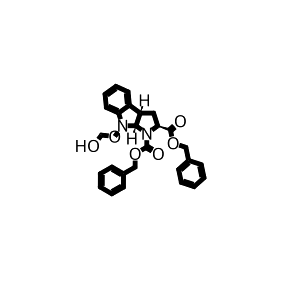 O=C(OCc1ccccc1)[C@@H]1C[C@@H]2c3ccccc3N(OCO)[C@@H]2N1C(=O)OCc1ccccc1